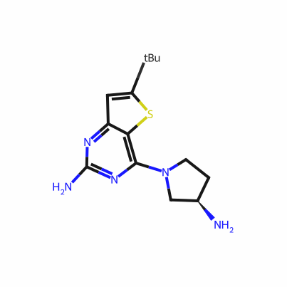 CC(C)(C)c1cc2nc(N)nc(N3CC[C@@H](N)C3)c2s1